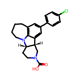 O=C(O)N1CC[C@H]2[C@@H](C1)c1cc(-c3ccc(Cl)cc3)cc3c1N2CCCC3